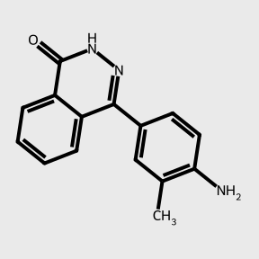 Cc1cc(-c2n[nH]c(=O)c3ccccc23)ccc1N